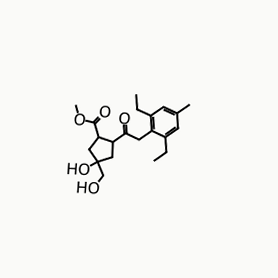 CCc1cc(C)cc(CC)c1CC(=O)C1CC(O)(CO)CC1C(=O)OC